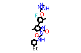 CCc1cccc(NC(=O)Cn2c(=O)n(C)c3c(-c4cc(C)c(OCc5nnc[nH]5)c(F)c4)cc(C)cc32)c1